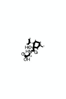 CC(C)[C@@H]1CC[C@@H](C)C[C@@]1(O)C(=O)NCC(=O)O